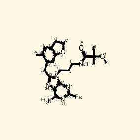 COC(C)(C)C(=O)NCCCn1c(Cc2cc3c(cc2C)CCO3)nc2c(N)nc(F)nc21